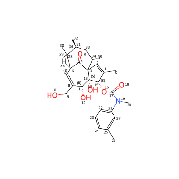 CC1=CC23C(=O)[C@@H](C=C(CO)[C@@H](O)[C@]2(O)[C@H]1OC(=O)N(C)c1cccc(C)c1)C(C)(C)[C@@H](C)CC3C